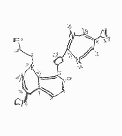 FCCn1nc(Cl)c2cccc(Oc3ncc(Cl)cn3)c21